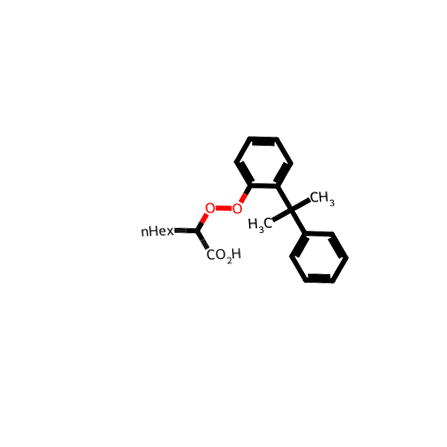 CCCCCCC(OOc1ccccc1C(C)(C)c1ccccc1)C(=O)O